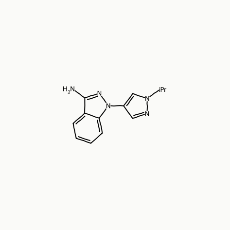 CC(C)n1cc(-n2nc(N)c3ccccc32)cn1